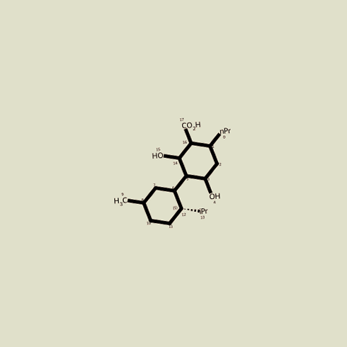 CCCC1CC(O)C(C2CC(C)CC[C@H]2C(C)C)C(O)C1C(=O)O